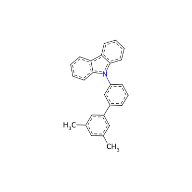 Cc1cc(C)cc(-c2cccc(-n3c4ccccc4c4ccccc43)c2)c1